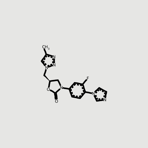 Cc1cn(C[C@H]2CN(c3ccc(-n4ccnc4)c(F)c3)C(=O)O2)nn1